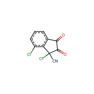 N#CC1(Cl)C(=O)C(=O)c2cccc(Cl)c21